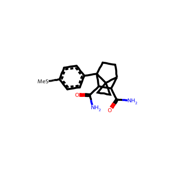 CSc1ccc(C23CCC(C(C(N)=O)C2C(N)=O)C32CC2)cc1